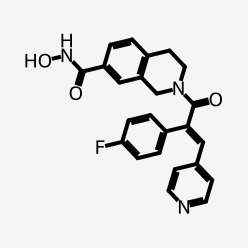 O=C(NO)c1ccc2c(c1)CN(C(=O)/C(=C/c1ccncc1)c1ccc(F)cc1)CC2